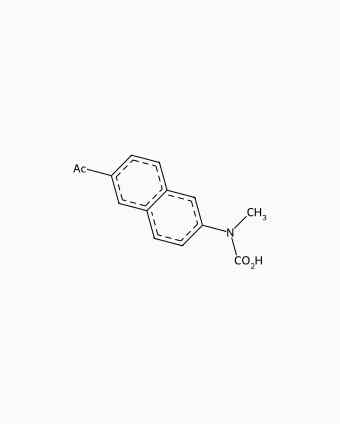 CC(=O)c1ccc2cc(N(C)C(=O)O)ccc2c1